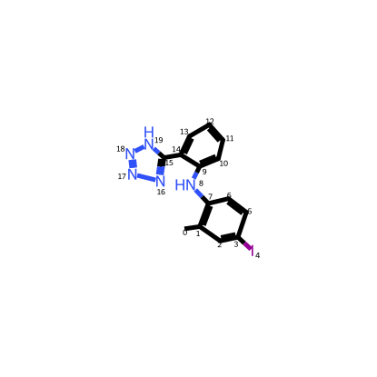 Cc1cc(I)ccc1Nc1ccccc1-c1nnn[nH]1